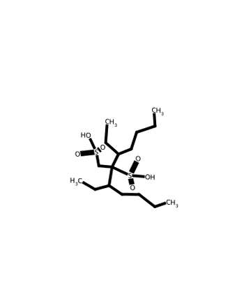 CCCCC(CC)C(CS(=O)(=O)O)(C(CC)CCCC)S(=O)(=O)O